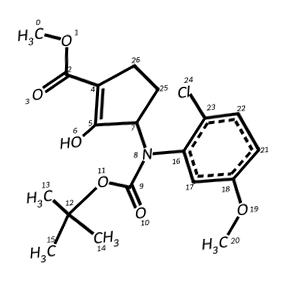 COC(=O)C1=C(O)C(N(C(=O)OC(C)(C)C)c2cc(OC)ccc2Cl)CC1